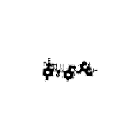 Cc1ccc(C(F)(F)F)c(NC(=O)Nc2cccc3c2CCN3Cc2ccnc3[nH]ccc23)c1